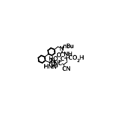 CCCCN(Cc1ccc(-c2ccccc2-c2nnn[nH]2)cc1)C(=O)NC(CC(C)C#N)(C(=O)O)C(=O)O